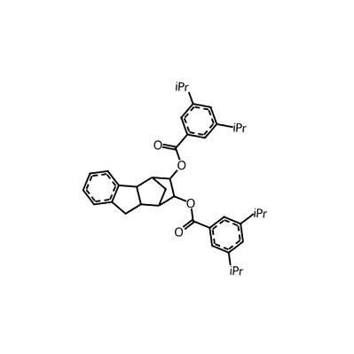 CC(C)c1cc(C(=O)OC2C3CC(C2OC(=O)c2cc(C(C)C)cc(C(C)C)c2)C2c4ccccc4CC32)cc(C(C)C)c1